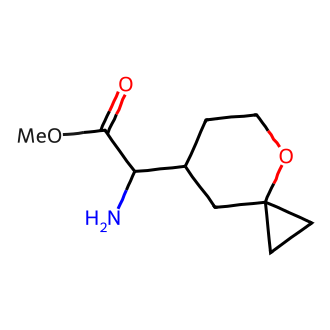 COC(=O)C(N)C1CCOC2(CC2)C1